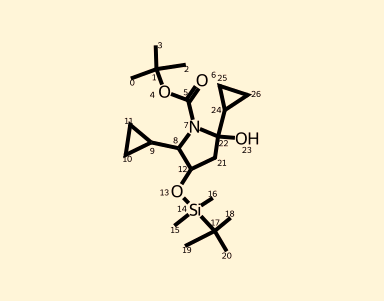 CC(C)(C)OC(=O)N1C(C2CC2)C(O[Si](C)(C)C(C)(C)C)CC1(O)C1CC1